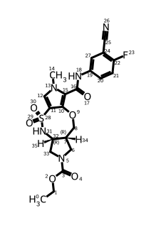 CCOC(=O)N1C[C@H]2COc3c(cn(C)c3C(=O)Nc3ccc(F)c(C#N)c3)S(=O)(=O)N[C@H]2C1